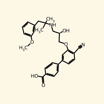 COc1cccc(CC(C)(C)NC[C@@H](O)COc2cc(-c3ccc(C(=O)O)cc3)ccc2C#N)c1